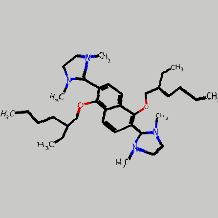 CCCCC(CC)COc1c(C2N(C)CCN2C)ccc2c(OCC(CC)CCCC)c(C3N(C)CCN3C)ccc12